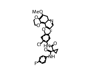 COC1=C2OCCOC2=C2C(Oc3cc(Cl)c(NC(=O)C4(C(=O)Nc5ccc(F)cc5)CC4)cc3F)=CC=NC2C1